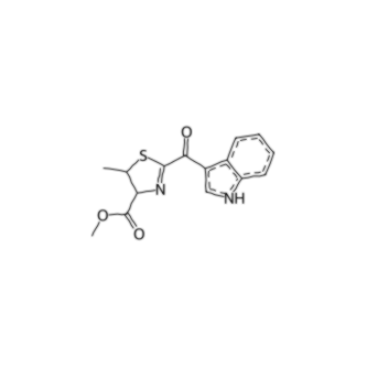 COC(=O)C1N=C(C(=O)c2c[nH]c3ccccc23)SC1C